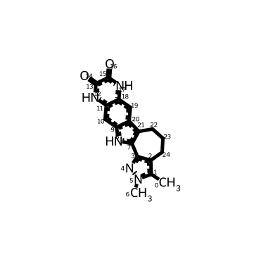 Cc1c2c(nn1C)-c1[nH]c3cc4[nH]c(=O)c(=O)[nH]c4cc3c1CCC2